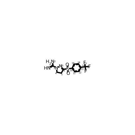 N=C(N)N1CCC(S(=O)(=O)c2ccc(C(F)(F)F)cc2)=N1